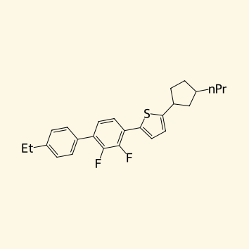 CCCC1CCC(c2ccc(-c3ccc(-c4ccc(CC)cc4)c(F)c3F)s2)C1